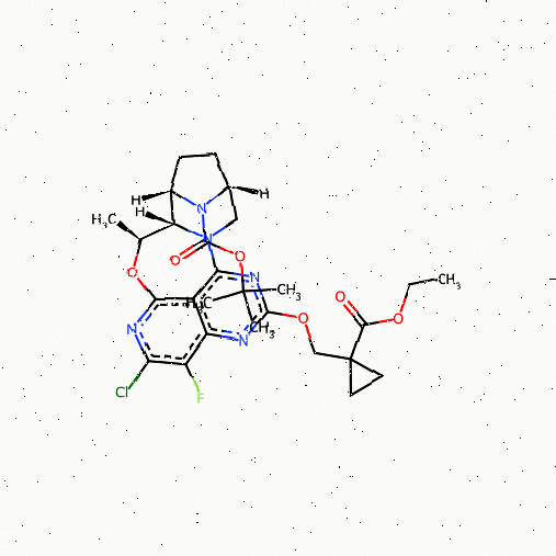 CCOC(=O)C1(COc2nc3c4c(nc(Cl)c(F)c4n2)O[C@@H](C)[C@@H]2[C@@H]4CC[C@H](CN32)N4C(=O)OC(C)(C)C)CC1